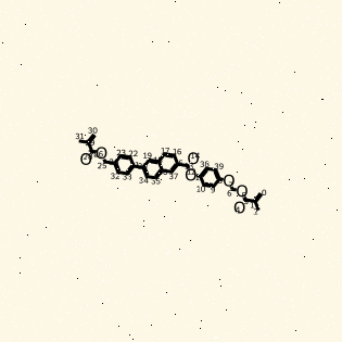 C=C(C)C(=O)OCOc1ccc(OC(=O)c2ccc3cc(-c4ccc(COC(=O)C(=C)C)cc4)ccc3c2)cc1